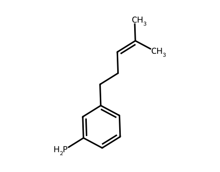 CC(C)=CCCc1cccc(P)c1